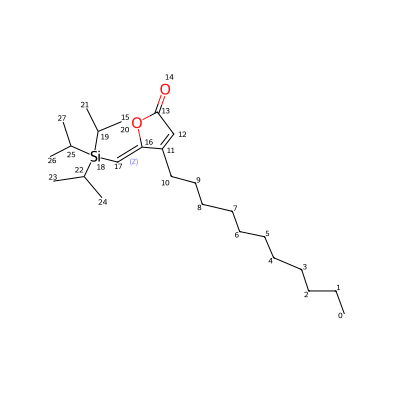 CCCCCCCCCCCC1=CC(=O)O/C1=C\[Si](C(C)C)(C(C)C)C(C)C